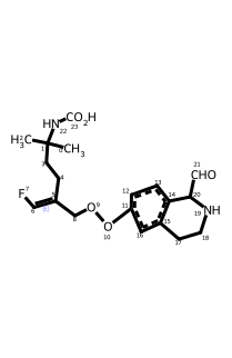 CC(C)(CC/C(=C\F)COOc1ccc2c(c1)CCNC2C=O)NC(=O)O